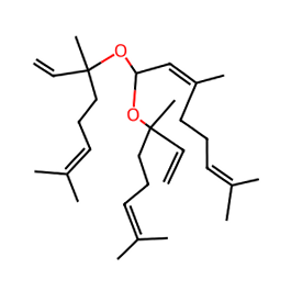 C=CC(C)(CCC=C(C)C)OC(/C=C(/C)CCC=C(C)C)OC(C)(C=C)CCC=C(C)C